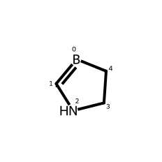 B1=[C]NCC1